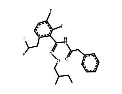 CCC(C)CO/N=C(\NC(=O)Cc1ccccc1)c1c(CC(F)F)ccc(F)c1F